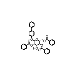 O=C(OC[C@H]1O[C@H](Oc2ccc(-c3ccccc3)cc2)[C@@H](OC(=O)c2ccccc2)[C@@H](O)[C@@H]1OC(=O)c1ccccc1)c1ccccc1